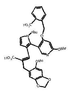 CCCCn1ccc(C=C(Cc2cc3c(cc2OC)OCO3)C(=O)O)c1-c1cnc(OC)cc1OCc1ccccc1C(=O)O